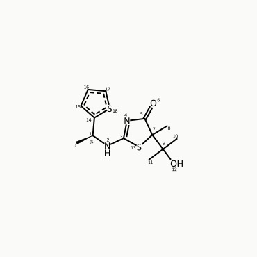 C[C@H](NC1=NC(=O)C(C)(C(C)(C)O)S1)c1cccs1